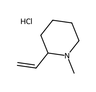 C=CC1CCCCN1C.Cl